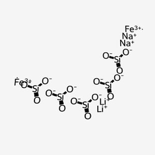 O=[Si]([O-])[O-].O=[Si]([O-])[O-].O=[Si]([O-])[O-].O=[Si]([O-])[O-].O=[Si]([O-])[O-].[Fe+3].[Fe+3].[Li+].[Li+].[Na+].[Na+]